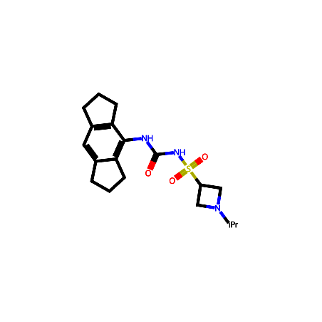 CC(C)N1CC(S(=O)(=O)NC(=O)Nc2c3c(cc4c2CCC4)CCC3)C1